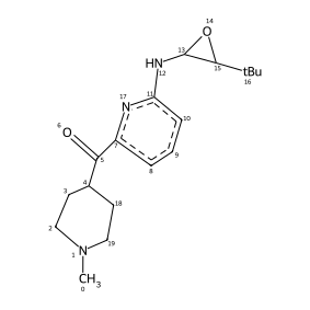 CN1CCC(C(=O)c2cccc(NC3OC3C(C)(C)C)n2)CC1